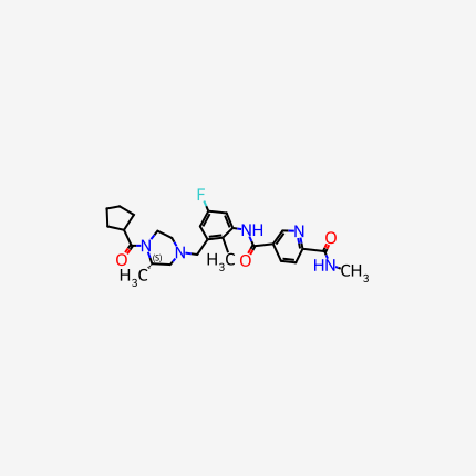 CNC(=O)c1ccc(C(=O)Nc2cc(F)cc(CN3CCN(C(=O)C4CCCC4)[C@@H](C)C3)c2C)cn1